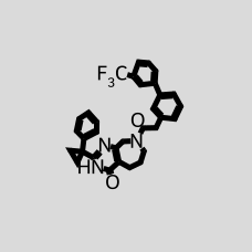 O=C(Cc1cccc(-c2cccc(C(F)(F)F)c2)c1)N1CCCc2c(nc(C3(c4ccccc4)CC3)[nH]c2=O)C1